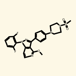 COc1nccc2c1c(-c1ccc(N3CCN(S(C)(=O)=O)CC3)cc1)nn2-c1c(F)cccc1F